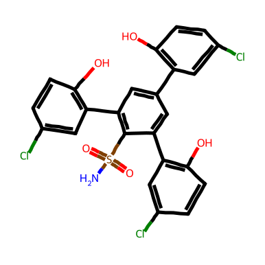 NS(=O)(=O)c1c(-c2cc(Cl)ccc2O)cc(-c2cc(Cl)ccc2O)cc1-c1cc(Cl)ccc1O